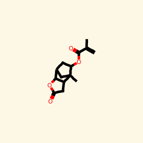 C=C(C)C(=O)OC1CC2CC1(C)C1CC(=O)OC21